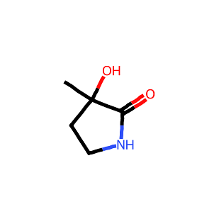 CC1(O)CCNC1=O